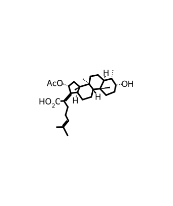 CC(=O)O[C@@H]1C[C@@]2(C)[C@@H](CC[C@H]3[C@@]4(C)CC[C@@H](O)[C@@H](C)[C@@H]4CC[C@@]32C)/C1=C(\CCC=C(C)C)C(=O)O